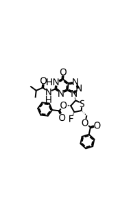 CC(C)C(=O)Nc1nc2c(nnn2[C@@H]2S[C@H](COC(=O)c3ccccc3)[C@H](F)[C@@H]2OC(=O)c2ccccc2)c(=O)[nH]1